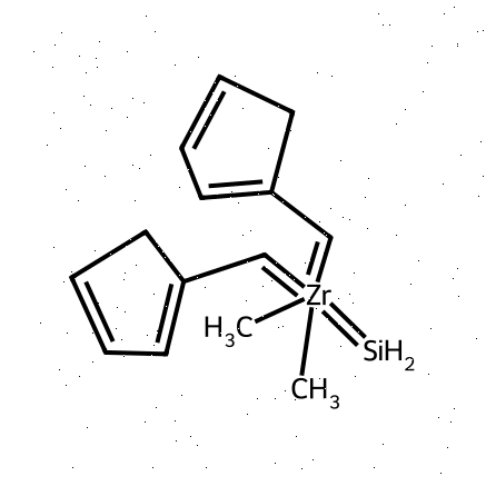 [CH3][Zr]([CH3])(=[SiH2])(=[CH]C1=CC=CC1)=[CH]C1=CC=CC1